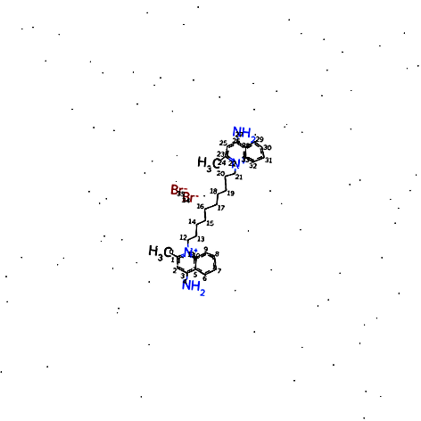 Cc1cc(N)c2ccccc2[n+]1CCCCCCCCCC[n+]1c(C)cc(N)c2ccccc21.[Br-].[Br-]